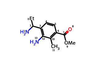 CCC(N)c1ccc(C(=O)OC)c(C)c1N